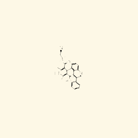 COC(=O)C1=C(C)NC(C)=C(C(=O)OCCC#N)C1c1cccc2ncc(-c3ccccc3)cc12